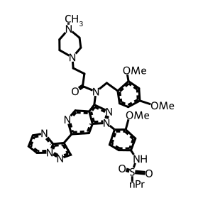 CCCS(=O)(=O)Nc1ccc(-n2nc(N(Cc3ccc(OC)cc3OC)C(=O)CCN3CCN(C)CC3)c3cnc(-c4cnn5cccnc45)cc32)c(OC)c1